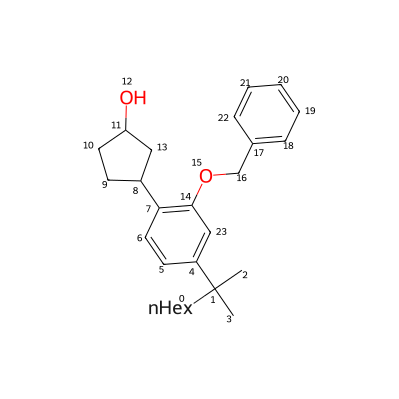 CCCCCCC(C)(C)c1ccc(C2CCC(O)C2)c(OCc2ccccc2)c1